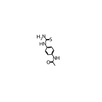 CC(=O)Nc1ccc(NC(N)=S)cc1